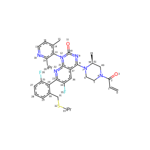 C=CC(=O)N1CCN(c2nc(=O)n(-c3c(C)ccnc3C(C)C)c3nc(-c4c(F)cccc4CSC(C)C)c(F)cc23)[C@@H](C)C1